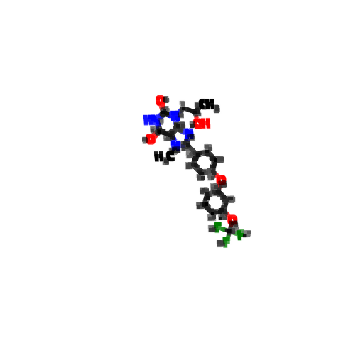 CC(O)Cn1c(=O)[nH]c(=O)c2c1nc(-c1ccc(Oc3cccc(OC(F)(F)F)c3)cc1)n2C